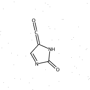 O=C=C1C=NC(=O)N1